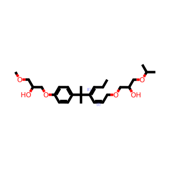 CC/C=C(\C=C/COCC(O)COC(C)C)C(C)(C)c1ccc(OCC(O)COC)cc1